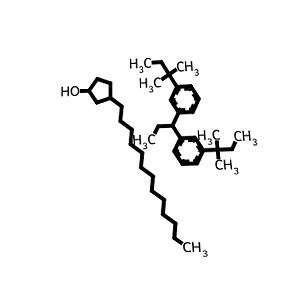 CCC(c1cccc(C(C)(C)CC)c1)c1cccc(C(C)(C)CC)c1.CCCCCCCCCCCCCC1CCC(O)C1